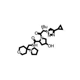 CC(C)(C)[C@@H](C(=O)N1CC(O)CC1C(=O)NCC1(N2CCCC2)CCOCC1)n1cc(C2CC2)nn1